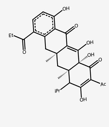 CCC(=O)c1ccc(O)c2c1C[C@]1(C)C[C@]3(C)C(C(C)C)C(O)=C(C(C)=O)C(=O)[C@]3(O)C(O)=C1C2=O